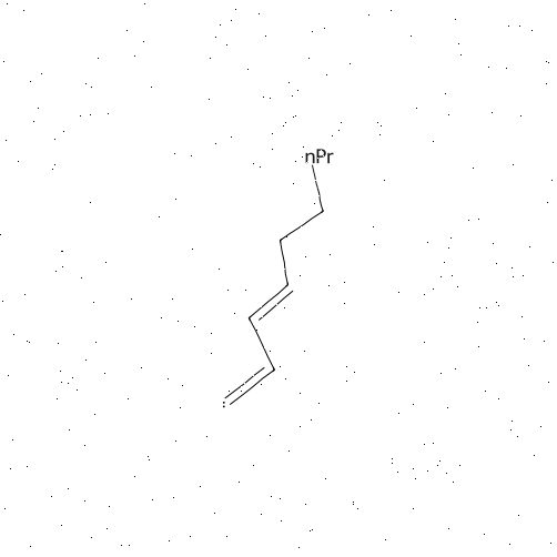 [C]=CC=CCCCCC